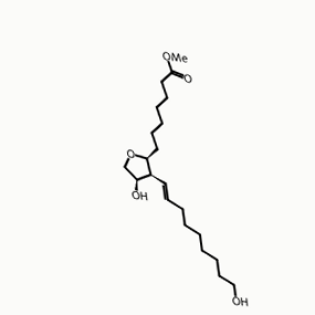 COC(=O)CCCCCC[C@@H]1OC[C@H](O)[C@@H]1C=CCCCCCCCO